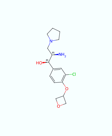 N[C@H](CN1CCCC1)[C@H](O)c1ccc(OC2COC2)c(Cl)c1